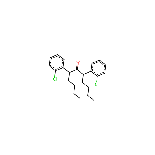 CCCCC(C(=O)C(CCCC)c1ccccc1Cl)c1ccccc1Cl